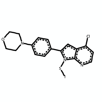 Clc1ccnc2c1cc(-c1ccc(N3CCOCC3)cc1)n2SI